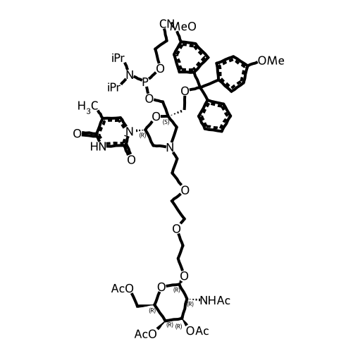 COc1ccc(C(OC[C@]2(COP(OCCC#N)N(C(C)C)C(C)C)CN(CCOCCOCCO[C@@H]3O[C@H](COC(C)=O)[C@H](OC(C)=O)[C@H](OC(C)=O)[C@H]3NC(C)=O)C[C@H](n3cc(C)c(=O)[nH]c3=O)O2)(c2ccccc2)c2ccc(OC)cc2)cc1